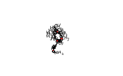 CC[C@H]1OC(=O)[C@H](C)C(=O)[C@H](C)[C@@H](O[C@@H]2OC(C)CC(NC)C2O)[C@](C)(OC)C[C@@H](C)CN[C@H](C)[C@@H]2[C@@H]1OC(=O)N2CCCCn1cc(-c2cccc(N)c2)nn1